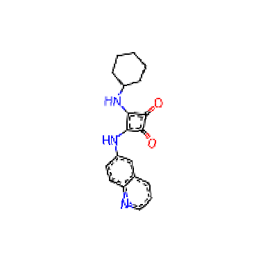 O=c1c(Nc2ccc3ncccc3c2)c(NC2CCCCC2)c1=O